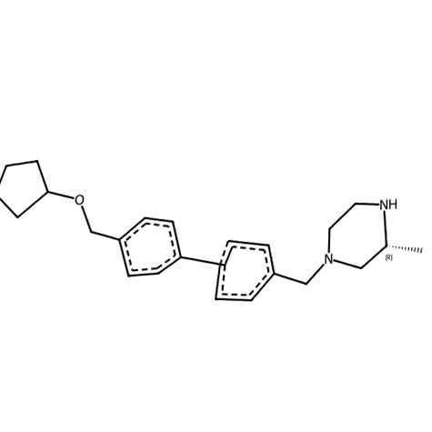 C[C@@H]1CN(Cc2ccc(-c3ccc(COC4CCCC4)cc3)cc2)CCN1